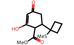 COC(=O)C1C(O)=CC(=O)CC1C1(SC)CCC1